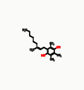 CCCCCCC(C)=CCc1c(C)c(O)c(C)c(C)c1O